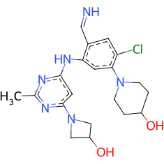 Cc1nc(Nc2cc(N3CCC(O)CC3)c(Cl)cc2C=N)cc(N2CC(O)C2)n1